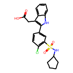 O=C(O)Cc1c(-c2ccc(Cl)c(S(=O)(=O)NC3CCCC3)c2)[nH]c2ccccc12